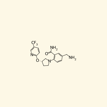 NCc1ccc(N2CC[C@H](Oc3ccc(C(F)(F)F)cn3)C2)c(C(N)=O)c1